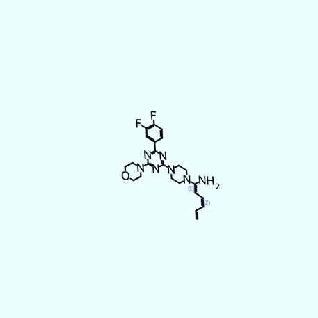 C=C/C=C\C=C(/N)N1CCN(c2nc(-c3ccc(F)c(F)c3)nc(N3CCOCC3)n2)CC1